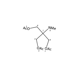 CNC(COC(C)=O)(COC(C)=O)COC(C)=O